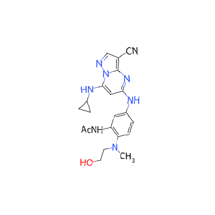 CC(=O)Nc1cc(Nc2cc(NC3CC3)n3ncc(C#N)c3n2)ccc1N(C)CCO